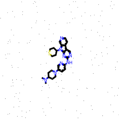 CN(C)C1CCN(c2ccc(Nc3ncc4c5ccncc5n(C5CCSCC5)c4n3)nc2)CC1